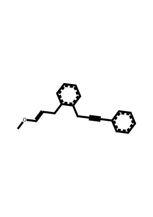 COC=CCc1ccccc1CC#Cc1ccccc1